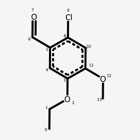 CCOc1cc(C=O)c(Cl)cc1OC